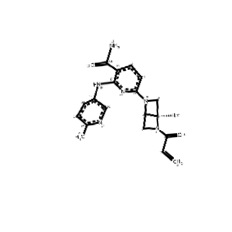 C=CC(=O)N1CC2[C@H]1CN2c1ccc(C(N)=O)c(Nc2ccc(C)nc2)n1